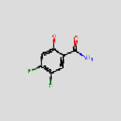 NC(=O)c1cc(Cl)c(F)cc1O